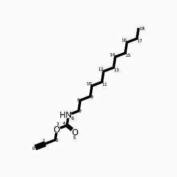 C#CCOC(=O)NCCCCCCCCCCCC